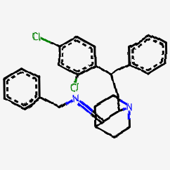 Clc1ccc(C(c2ccccc2)C2/C(=N/Cc3ccccc3)C3CCN2CC3)c(Cl)c1